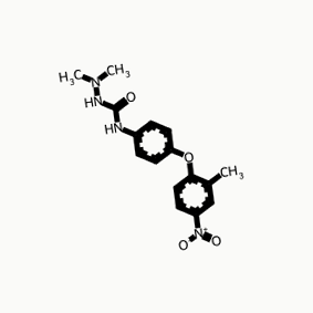 Cc1cc([N+](=O)[O-])ccc1Oc1ccc(NC(=O)NN(C)C)cc1